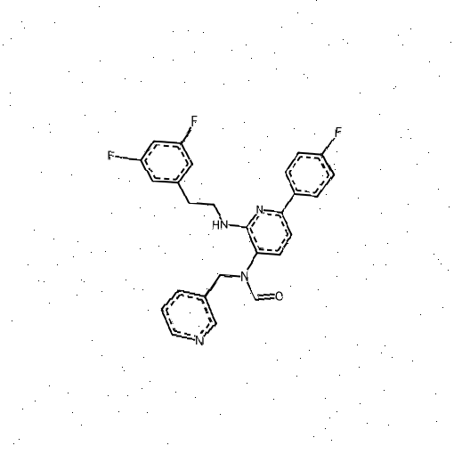 O=CN(Cc1cccnc1)c1ccc(-c2ccc(F)cc2)nc1NCCc1cc(F)cc(F)c1